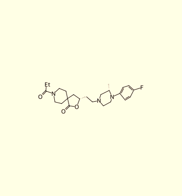 CCC(=O)N1CCC2(CC1)C[C@H](CCN1CCN(c3ccc(F)cc3)[C@@H](C)C1)OC2=O